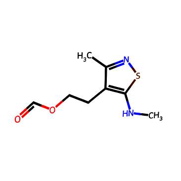 CNc1snc(C)c1CCOC=O